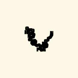 CN(c1ccc2c(n1)NC(=O)CO2)C12CCC(CCc3c(F)cnc4ccc(OCCCC#N)nc34)(CC1)OC2